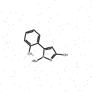 CCCCn1nc(O)cc1-c1ccccc1C